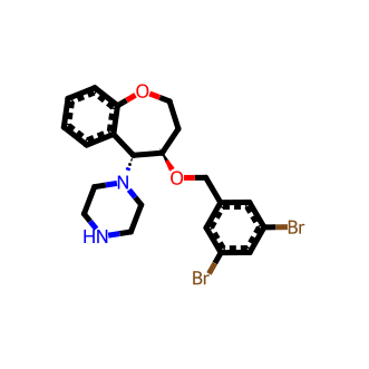 Brc1cc(Br)cc(CO[C@@H]2CCOc3ccccc3[C@H]2N2CCNCC2)c1